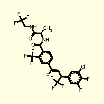 C[C@@H](NC(=O)c1ccc(/C(F)=C/C(c2cc(F)c(F)c(Cl)c2)C(F)(F)F)cc1C(F)(F)F)C(=O)NCC(F)(F)F